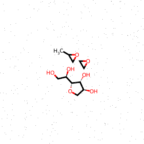 C1CO1.CC1CO1.OC[C@@H](O)[C@H]1OC[C@H](O)[C@H]1O